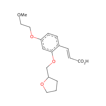 COCCOc1ccc(/C=C/C(=O)O)c(OCC2CCCO2)c1